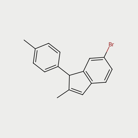 CC1=Cc2ccc(Br)cc2C1c1ccc(C)cc1